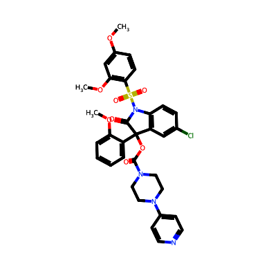 COc1ccc(S(=O)(=O)N2C(=O)C(OC(=O)N3CCN(c4ccncc4)CC3)(c3ccccc3OC)c3cc(Cl)ccc32)c(OC)c1